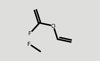 C=COC(=C)F.CF